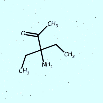 CCC(N)(CC)C(C)=O